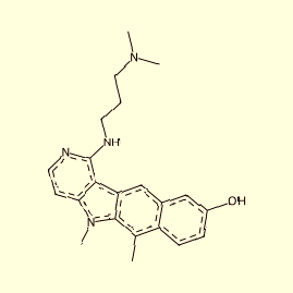 Cc1c2ccc(O)cc2cc2c3c(NCCCN(C)C)nccc3n(C)c12